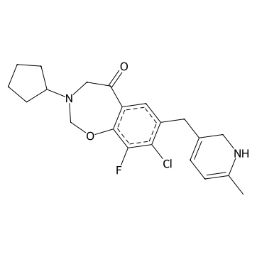 CC1=CC=C(Cc2cc3c(c(F)c2Cl)OCN(C2CCCC2)CC3=O)CN1